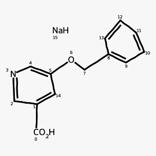 O=C(O)c1cncc(OCc2ccccc2)c1.[NaH]